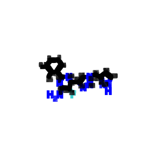 Cc1cccc(-c2nc(N)c(F)c(-c3cn(Cc4cc[nH]n4)nn3)n2)c1C